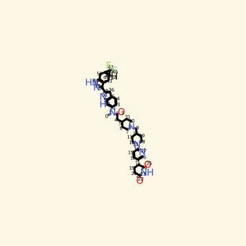 CN(C(=O)CC1CCN(CC2CCN(c3ccc([C@H]4CCC(=O)NC4=O)cn3)CC2)CC1)c1ccc2cc(-c3n[nH]c4c3C[C@@H]3C(F)(F)[C@]3(C)C4)[nH]c2c1